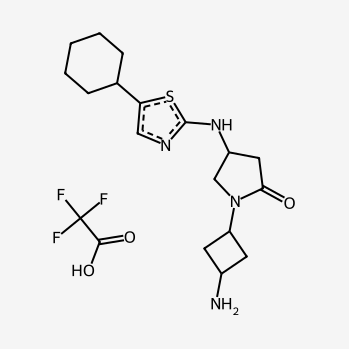 NC1CC(N2CC(Nc3ncc(C4CCCCC4)s3)CC2=O)C1.O=C(O)C(F)(F)F